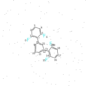 Fc1cccc(F)c1-c1cccc(-c2c(F)cccc2F)c1